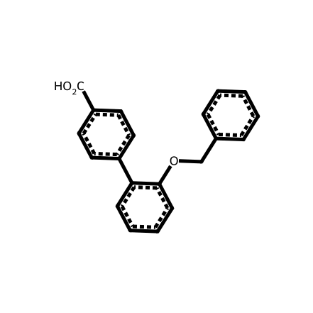 O=C(O)c1ccc(-c2ccccc2OCc2ccccc2)cc1